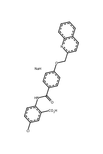 O=C(Nc1ccc(Cl)cc1C(=O)O)c1ccc(OCc2ccc3ccccc3n2)cc1.[NaH]